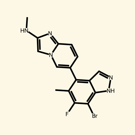 CNc1cn2cc(-c3c(C)c(F)c(Br)c4[nH]ncc34)ccc2n1